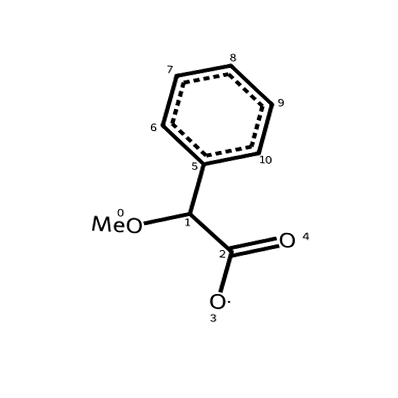 COC(C([O])=O)c1ccccc1